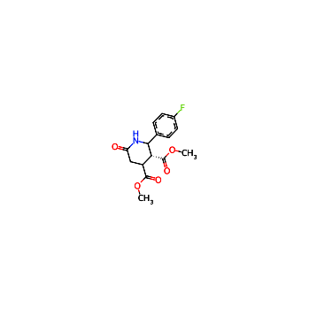 COC(=O)C1CC(=O)NC(c2ccc(F)cc2)[C@@H]1C(=O)OC